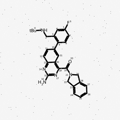 CC(C)(C)NCc1cc(F)ccc1-c1ccc2nc(N)nc(C(=O)N3Cc4ccccc4C3)c2c1